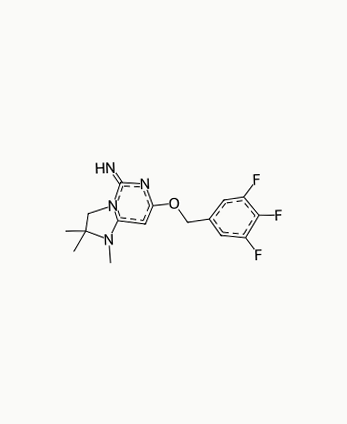 CN1c2cc(OCc3cc(F)c(F)c(F)c3)nc(=N)n2CC1(C)C